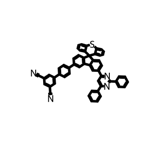 N#Cc1cc(C#N)cc(-c2ccc(-c3ccc4c(c3)-c3cc(-c5cc(-c6ccccc6)nc(-c6ccccc6)n5)ccc3C43c4ccccc4Sc4ccccc43)cc2)c1